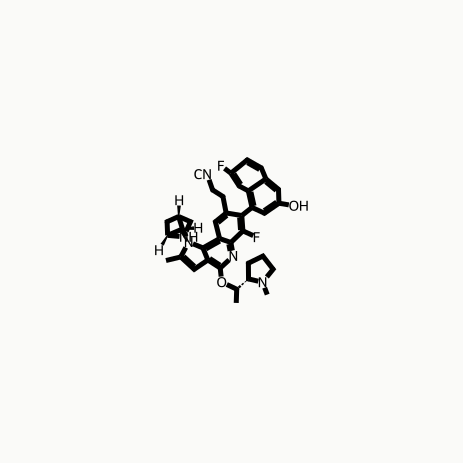 Cc1cc2c(OC(C)[C@@H]3CCCN3C)nc3c(F)c(-c4cc(O)cc5ccc(F)cc45)c(CCC#N)cc3c2n1[C@H]1[C@H]2CN[C@@H]1C2